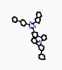 c1ccc(-c2ccc(-c3nc(-c4cccc(-c5ccccc5-n5c6ccccc6c6cc(-c7ccccc7)ccc65)c4)nc(-c4ccc5ccccc5c4)n3)cc2)cc1